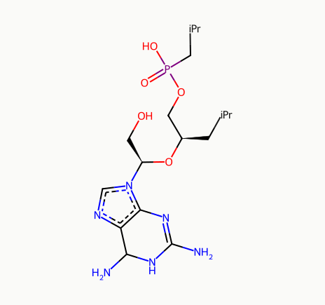 CC(C)C[C@H](COP(=O)(O)CC(C)C)O[C@H](CO)n1cnc2c1N=C(N)NC2N